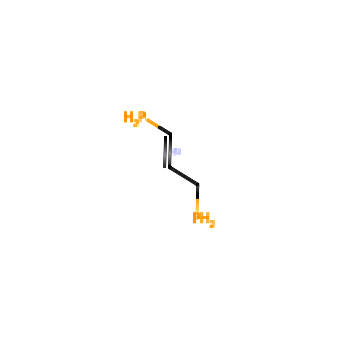 P/C=C/CP